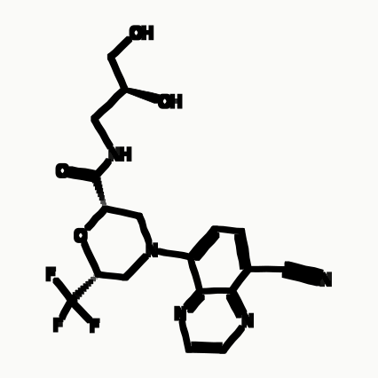 N#Cc1ccc(N2C[C@@H](C(=O)NC[C@H](O)CO)O[C@@H](C(F)(F)F)C2)c2nccnc12